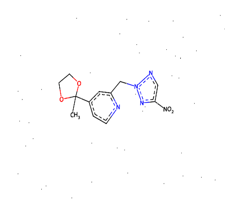 CC1(c2ccnc(Cn3ncc([N+](=O)[O-])n3)c2)OCCO1